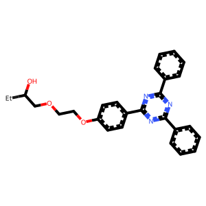 CCC(O)COCCOc1ccc(-c2nc(-c3ccccc3)nc(-c3ccccc3)n2)cc1